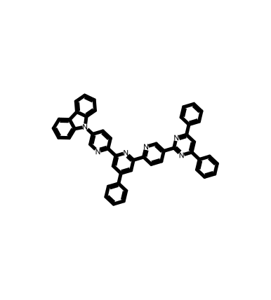 c1ccc(-c2cc(-c3ccc(-c4nc(-c5ccccc5)cc(-c5ccccc5)n4)cn3)nc(-c3ccc(-n4c5ccccc5c5ccccc54)cn3)c2)cc1